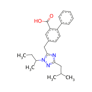 CCC(C)n1nc(CC(C)C)nc1Cc1ccc(-c2ccccc2)c(C(=O)O)c1